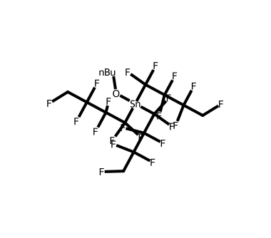 CCCC[O][Sn]([C](F)(F)C(F)(F)C(F)(F)CF)([C](F)(F)C(F)(F)C(F)(F)CF)[C](F)(F)C(F)(F)C(F)(F)CF